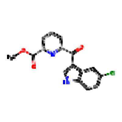 COC(=O)c1cccc(C(=O)c2c[nH]c3ccc(Cl)cc23)n1